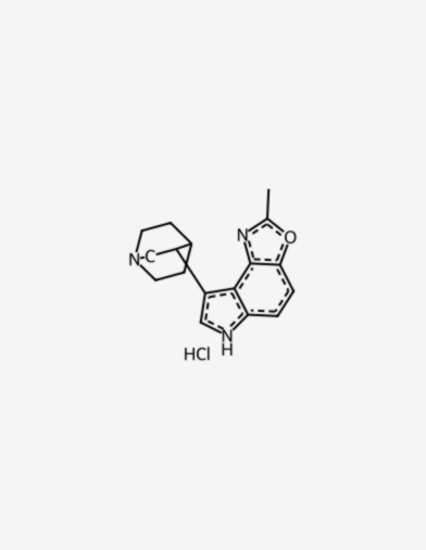 Cc1nc2c(ccc3[nH]cc(C4CN5CCC4CC5)c32)o1.Cl